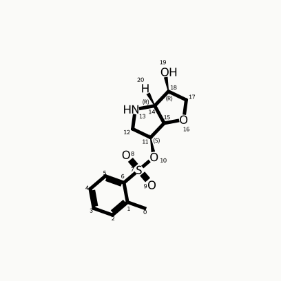 Cc1ccccc1S(=O)(=O)O[C@H]1CN[C@H]2C1OC[C@@H]2O